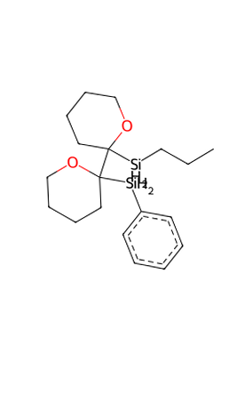 CCC[SiH2]C1(C2([SiH2]c3ccccc3)CCCCO2)CCCCO1